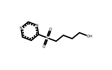 O=S(=O)(CCCCO)c1ccncn1